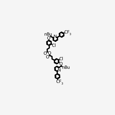 CCCCC(Oc1ccc(CCC(=O)OC(=O)CCc2ccc(OC(CCCC)c3cccc(-c4ccc(C(F)(F)F)cc4)n3)c(Cl)c2)c(Cl)c1)c1cccc(-c2ccc(C(F)(F)F)cc2)n1